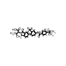 CC(C)C(C(=O)O)N1Cc2ccc(-c3ccc(NC(=O)c4ccc(C(C)(C)C)cc4)cc3C(F)(F)F)cc2C1=O